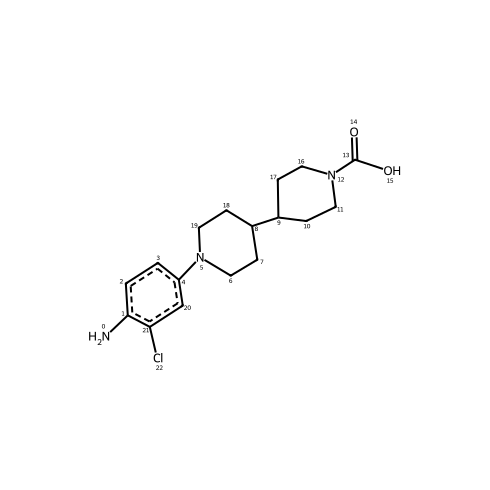 Nc1ccc(N2CCC(C3CCN(C(=O)O)CC3)CC2)cc1Cl